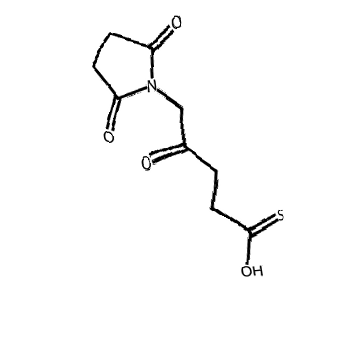 O=C(CCC(O)=S)CN1C(=O)CCC1=O